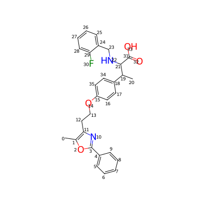 Cc1oc(-c2ccccc2)nc1CCOc1ccc(C(C)C(NCc2ccccc2F)C(=O)O)cc1